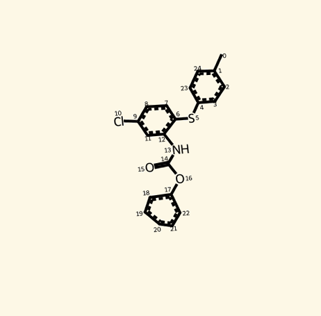 Cc1ccc(Sc2ccc(Cl)cc2NC(=O)Oc2ccccc2)cc1